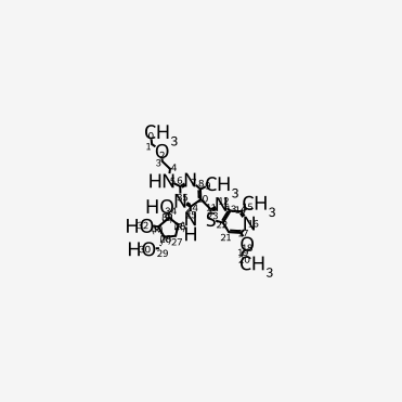 CCOCCNc1nc(C)c(-c2nc3c(C)nc(OCC)cc3s2)c(N[C@@H]2C[C@H](CO)[C@@H](O)[C@H]2O)n1